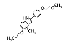 CCCOC1=CC=C2NC(c3ccc(OCCOC)cc3)=CN2N1C